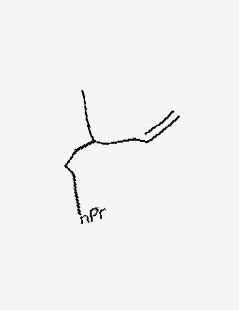 [CH2]CCCC(C)C=C